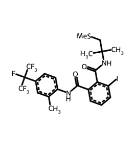 CSCC(C)(C)NC(=O)c1c(I)cccc1C(=O)Nc1ccc(C(F)(C(F)(F)F)C(F)(F)F)cc1C